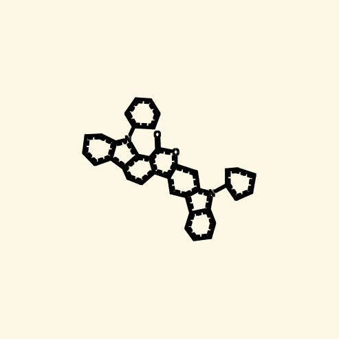 O=c1oc2cc3c(cc2c2ccc4c5ccccc5n(-c5ccccc5)c4c12)c1ccccc1n3-c1ccccc1